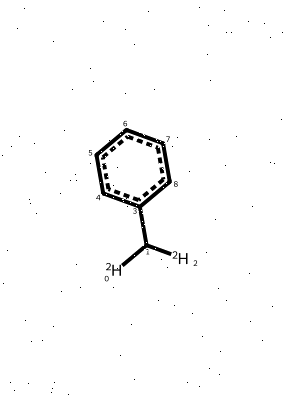 [2H]C([2H])c1ccccc1